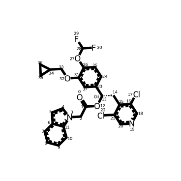 O=C(Cn1ccc2ccccc21)O[C@@H](Cc1c(Cl)cncc1Cl)c1ccc(OC(F)F)c(OCC2CC2)c1